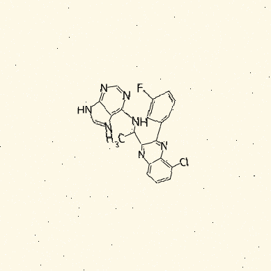 CC(Nc1ncnc2[nH]cnc12)c1nc2cccc(Cl)c2nc1-c1cccc(F)c1